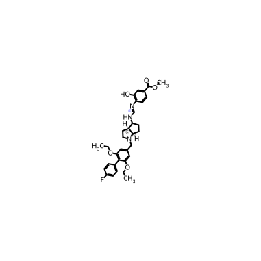 CCOc1cc(CN2CC[C@H]3C(N/C=N/c4ccc(C(=O)OC)cc4O)CC[C@H]32)cc(OCC)c1-c1ccc(F)cc1